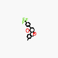 Cc1ccc(C2C(=O)CCC(c3ccc(C(F)(F)F)cc3)C2=O)c(C)c1